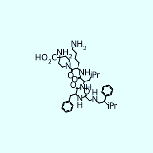 CC(C)C[C@@H](NC(=O)C(Cc1ccccc1)NC(=O)CNC[C@@H](c1ccccc1)C(C)C)C(=O)N[C@H](CCCCN)C(=O)N1CCC(N)(C(=O)O)CC1